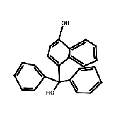 Oc1ccc(C(O)(c2ccccc2)c2ccccc2)c2ccccc12